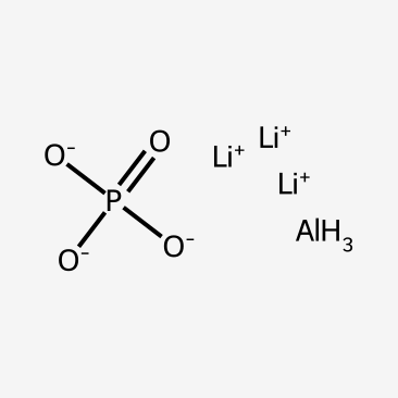 O=P([O-])([O-])[O-].[AlH3].[Li+].[Li+].[Li+]